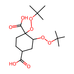 CC(C)(C)OOC1CC(C(=O)O)CCC1(OOC(C)(C)C)C(=O)O